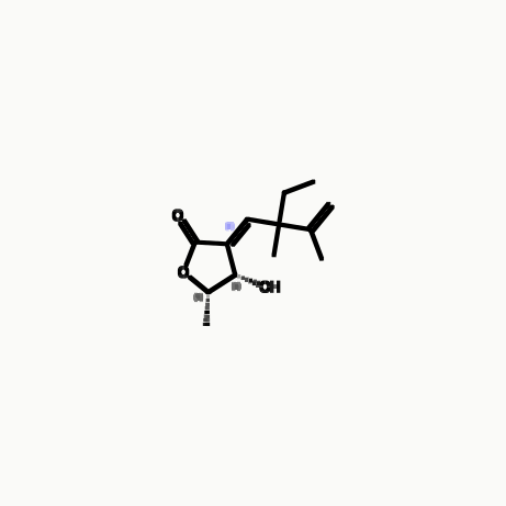 C=C(C)C(C)(/C=C1/C(=O)O[C@@H](C)[C@H]1O)CC